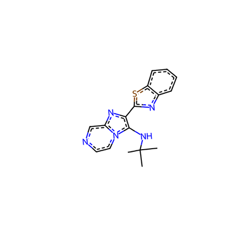 CC(C)(C)Nc1c(-c2nc3ccccc3s2)nc2cnccn12